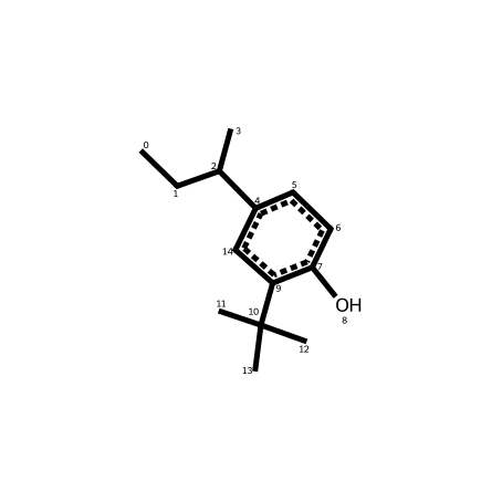 CCC(C)c1ccc(O)c(C(C)(C)C)c1